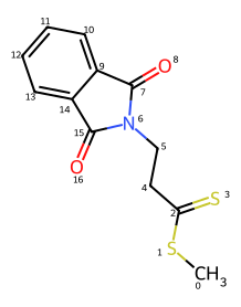 CSC(=S)CCN1C(=O)c2ccccc2C1=O